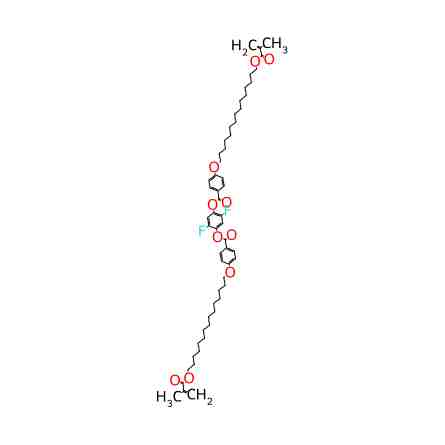 C=C(C)C(=O)OCCCCCCCCCCCCCCCOc1ccc(C(=O)Oc2cc(F)c(OC(=O)c3ccc(OCCCCCCCCCCCCCCCOC(=O)C(=C)C)cc3)cc2F)cc1